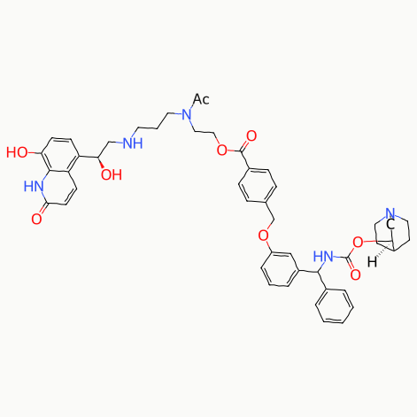 CC(=O)N(CCCNC[C@@H](O)c1ccc(O)c2[nH]c(=O)ccc12)CCOC(=O)c1ccc(COc2cccc(C(NC(=O)O[C@H]3CN4CCC3CC4)c3ccccc3)c2)cc1